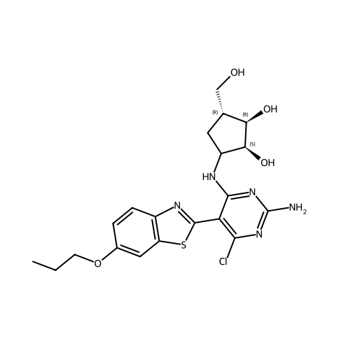 CCCOc1ccc2nc(-c3c(Cl)nc(N)nc3NC3C[C@H](CO)[C@@H](O)[C@H]3O)sc2c1